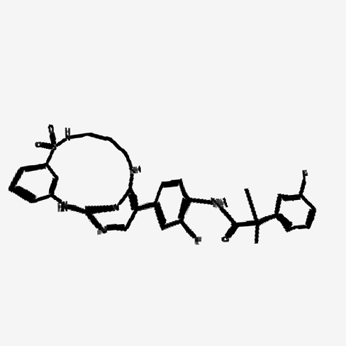 CC(C)(C(=O)Nc1ccc(-c2cnc3nc2NCCCNS(=O)(=O)c2cccc(c2)N3)cc1F)c1cccc(F)c1